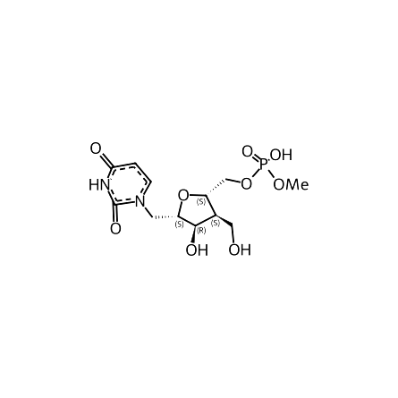 COP(=O)(O)OC[C@H]1O[C@@H](Cn2ccc(=O)[nH]c2=O)[C@H](O)[C@@H]1CO